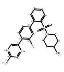 CC1CCN(S(=O)(=O)c2ccccc2-c2ccc(-c3cnc(N)cn3)c(F)c2)CC1